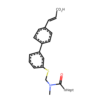 CCCCCCCC(=O)N(C)CSc1cccc(-c2ccc(C=CC(=O)O)cc2)c1